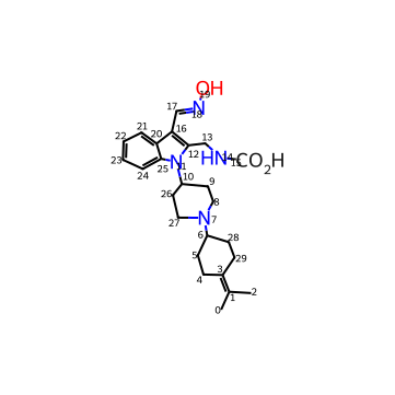 CC(C)=C1CCC(N2CCC(n3c(CNC(=O)O)c(C=NO)c4ccccc43)CC2)CC1